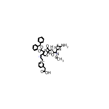 CO/N=C(\C(=O)NC1C(=O)N2C(C(=O)OC(c3ccccc3)c3ccccc3)=C(/C=C\C[n+]3cccc(CC(=O)O)c3)CS[C@H]12)c1nsc(N)n1